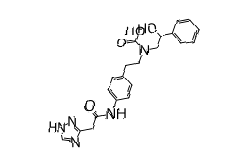 O=C(Cc1nc[nH]n1)Nc1ccc(CCN(CC(O)c2ccccc2)C(=O)O)cc1